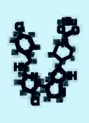 CC(C)(C)OC(=O)N1CCC(c2cc3c(-c4nc(NCc5ccc(Cl)cc5)ccc4Cl)ccnc3[nH]2)CC1